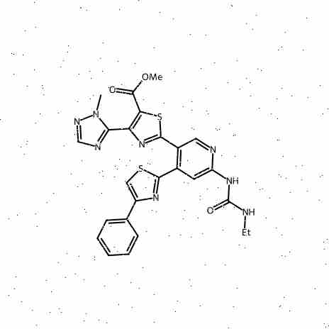 CCNC(=O)Nc1cc(-c2nc(-c3ccccc3)cs2)c(-c2nc(-c3ncnn3C)c(C(=O)OC)s2)cn1